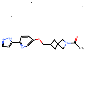 CC(=O)N1CC2(CC(COc3ccc(-c4ccn[nH]4)nc3)C2)C1